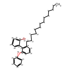 CCCCCCCCCCCCCCc1cccc(Oc2ccccc2)c1-c1ccccc1Br